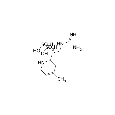 CC1=CCNC(CCNC(=N)N)C1.O=S(=O)(O)O.O=S(=O)(O)O